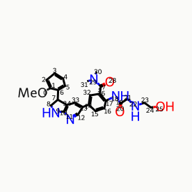 COc1ccccc1C1CNc2ncc(-c3ccc(NC(=O)CNCCO)c(C(=O)N(C)C)c3)cc21